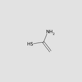 C=C(N)S